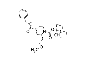 COCC[C@H]1CN(C(=O)OCc2ccccc2)CCN1C(=O)OC(C)(C)C